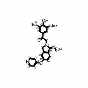 Br.CC(C)(C)c1cc(C(=O)CN2Cc3cc(Oc4ccncc4)ccc3C2=N)cc(C(C)(C)C)c1O